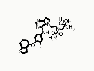 CC(C)(O)CN(CCn1ccc2ncnc(Nc3ccc(Oc4cccc5sccc45)c(Cl)c3)c21)S(C)(=O)=O